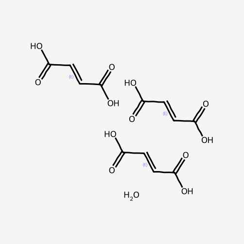 O.O=C(O)/C=C/C(=O)O.O=C(O)/C=C/C(=O)O.O=C(O)/C=C/C(=O)O